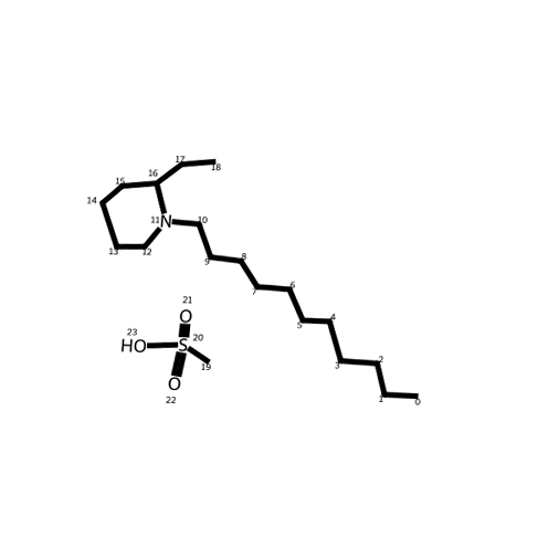 CCCCCCCCCCCN1CCCCC1CC.CS(=O)(=O)O